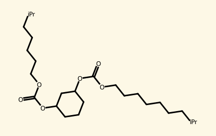 CC(C)CCCCCCCOC(=O)OC1CCCC(OC(=O)OCCCCCC(C)C)C1